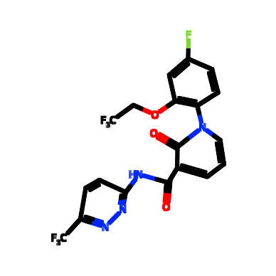 O=C(Nc1ccc(C(F)(F)F)nn1)c1cccn(-c2ccc(F)cc2OCC(F)(F)F)c1=O